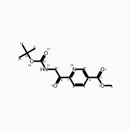 COC(=O)c1ccc(C(=O)CNC(=O)OC(C)(C)C)nc1